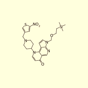 C[Si](C)(C)CCOCn1ccc2c1ncc1c(=O)ccn(C3CCN(Cc4csc([N+](=O)[O-])c4)CC3)c12